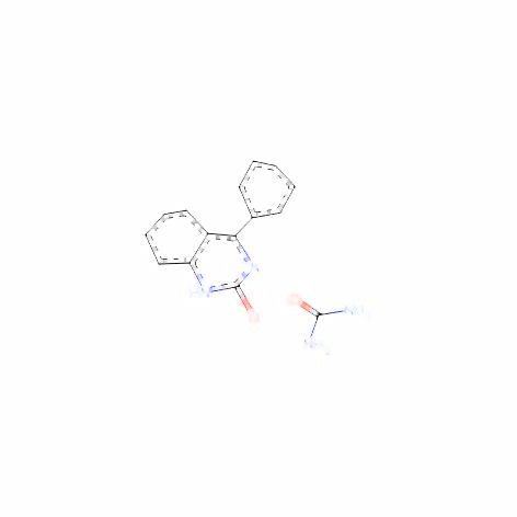 NC(N)=O.O=c1nc(-c2ccccc2)c2ccccc2[nH]1